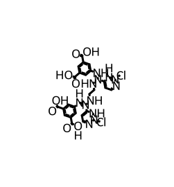 O=C(O)c1cc(NN(NCCNN(Nc2cc(C(=O)O)cc(C(=O)O)c2)C2=CC=NN(Cl)N2)C2=CC=NN(Cl)N2)cc(C(=O)O)c1